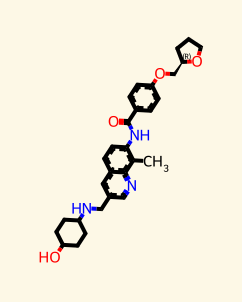 Cc1c(NC(=O)c2ccc(OC[C@H]3CCCO3)cc2)ccc2cc(CNC3CCC(O)CC3)cnc12